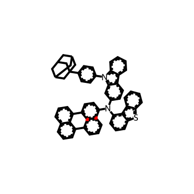 c1ccc(-c2cccc3cccc(-c4ccc(N(c5ccc6c7ccccc7n(-c7ccc(C89CC%10CC(CC(C%10)C8)C9)cc7)c6c5)c5cccc6sc7ccccc7c56)cc4)c23)cc1